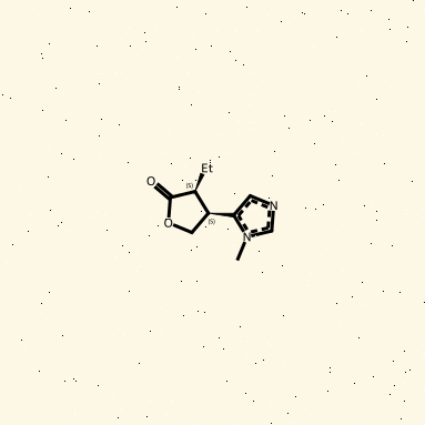 CC[C@@H]1C(=O)OC[C@@H]1c1cncn1C